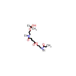 C=CC(=O)N(CC)CCCOC(=O)C/C=C/C(=O)N(CC)CCCOC(C)(O)CC